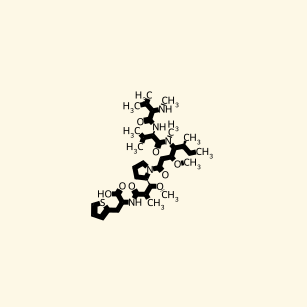 CC[C@H](C)C(C(CC(=O)N1CCC[C@H]1C(OC)C(C)C(=O)NC(Cc1cccs1)C(=O)O)OC)N(C)C(=O)[C@@H](NC(=O)C(NC)C(C)C)C(C)C